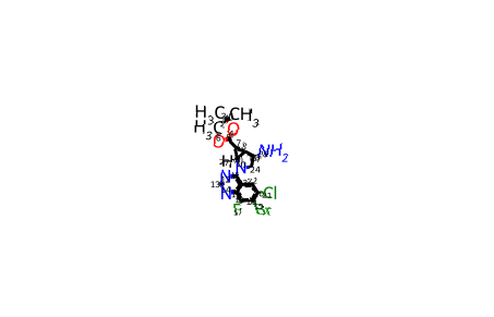 CC(C)(C)OC(=O)C1C2[C@H]1N(c1ncnc3c(F)c(Br)c(Cl)cc13)C[C@H]2N